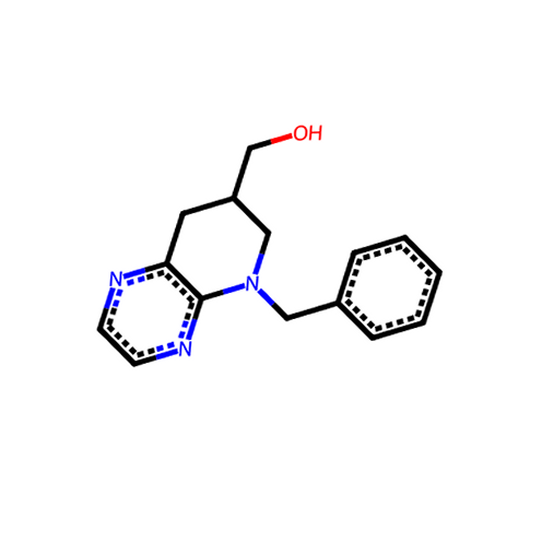 OCC1Cc2nccnc2N(Cc2ccccc2)C1